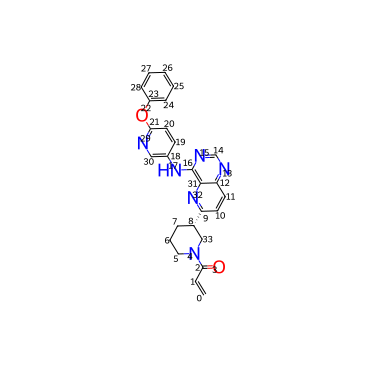 C=CC(=O)N1CCC[C@H](c2ccc3ncnc(Nc4ccc(Oc5ccccc5)nc4)c3n2)C1